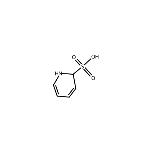 O=S(=O)(O)C1C=CC=CN1